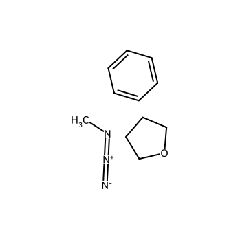 C1CCOC1.CN=[N+]=[N-].c1ccccc1